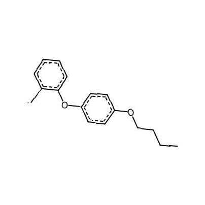 [CH2]c1ccccc1Oc1ccc(OCCCC)cc1